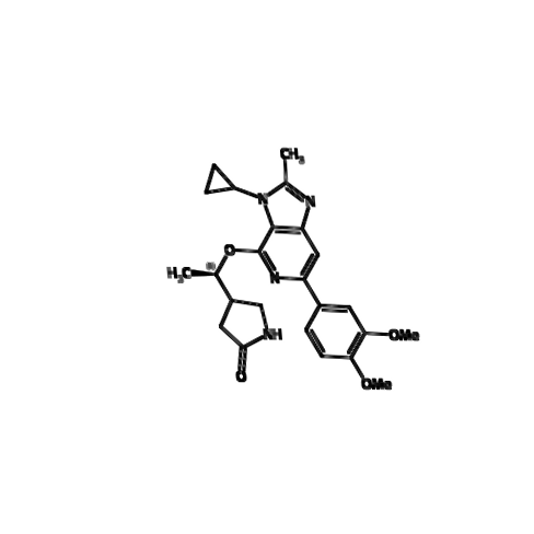 COc1ccc(-c2cc3nc(C)n(C4CC4)c3c(O[C@H](C)C3CNC(=O)C3)n2)cc1OC